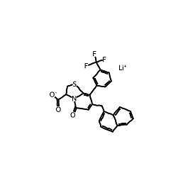 O=C([O-])C1CSc2c(-c3cccc(C(F)(F)F)c3)c(Cc3cccc4ccccc34)cc(=O)n21.[Li+]